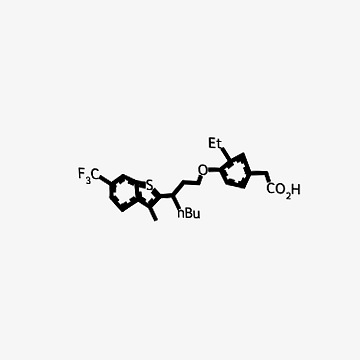 CCCCC(CCOc1ccc(CC(=O)O)cc1CC)c1sc2cc(C(F)(F)F)ccc2c1C